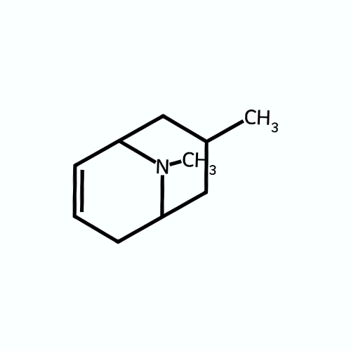 CC1CC2C=CCC(C1)N2C